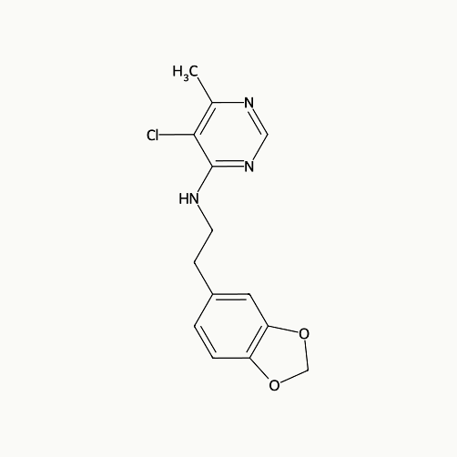 Cc1ncnc(NCCc2ccc3c(c2)OCO3)c1Cl